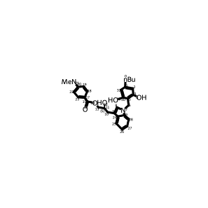 CCCCc1cc(O)c(Cn2cc(C[C@H](O)COC(=O)c3ccc(NC)cc3)c3ccccc32)c(O)c1